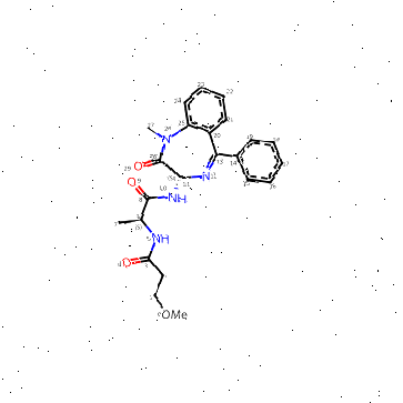 COCCC(=O)N[C@@H](C)C(=O)N[C@H]1N=C(c2ccccc2)c2ccccc2N(C)C1=O